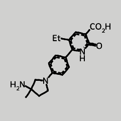 CCc1cc(C(=O)O)c(=O)[nH]c1-c1ccc(N2CCC(C)(N)C2)cc1